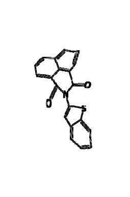 O=C1c2cccc3cccc(c23)C(=O)N1c1cc2ccccc2s1